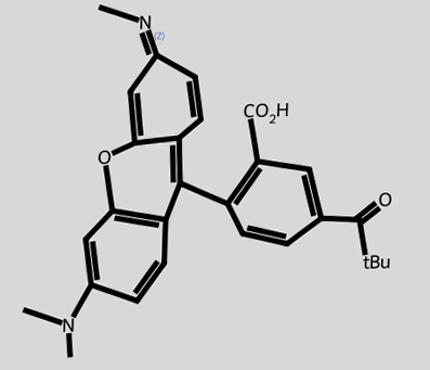 C/N=c1/ccc2c(-c3ccc(C(=O)C(C)(C)C)cc3C(=O)O)c3ccc(N(C)C)cc3oc-2c1